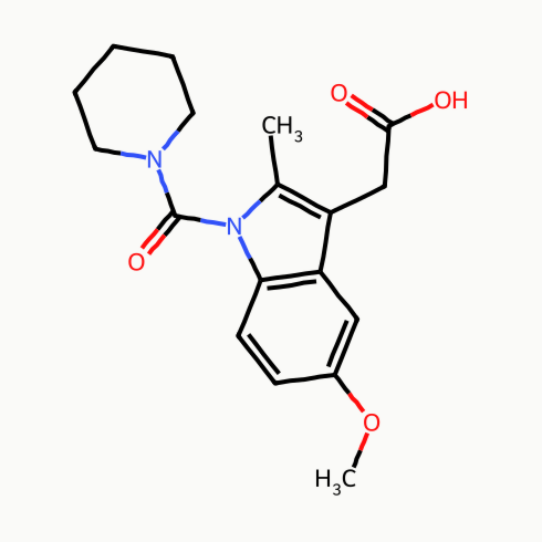 COc1ccc2c(c1)c(CC(=O)O)c(C)n2C(=O)N1CCCCC1